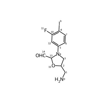 NCC1CN(c2ccc(I)c(F)c2)C(C=O)O1